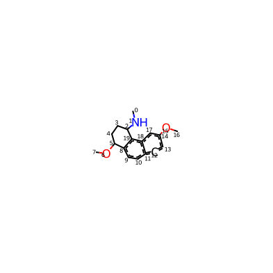 CNC1CCC(OC)c2ccc3ccc(OC)cc3c21